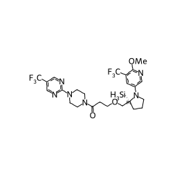 COc1ncc(N2CCC[C@@]2([SiH3])COCCC(=O)N2CCN(c3ncc(C(F)(F)F)cn3)CC2)cc1C(F)(F)F